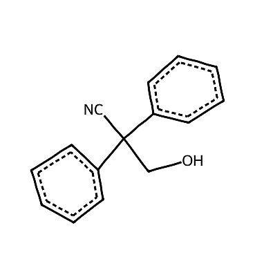 N#CC(CO)(c1ccccc1)c1ccccc1